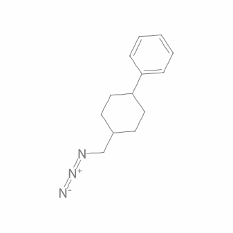 [N-]=[N+]=NCC1CCC(c2ccccc2)CC1